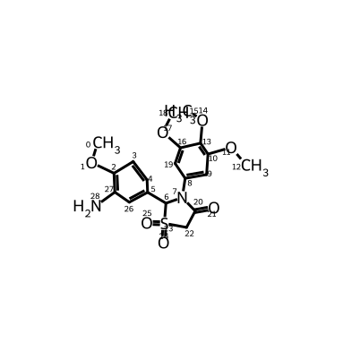 COc1ccc(C2N(c3cc(OC)c(OC)c(OC)c3)C(=O)CS2(=O)=O)cc1N